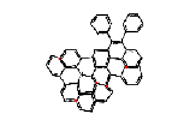 c1ccc(-c2ccc(N(c3ccccc3-c3ccc4c(c3)c(-c3ccccc3)c(-c3ccccc3)c3ccccc34)c3c(-c4ccccc4)cccc3-c3ccccc3)c(-c3ccccc3)c2)cc1